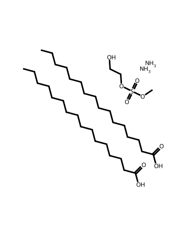 CCCCCCCCCCCCCCCC(=O)O.CCCCCCCCCCCCCCCC(=O)O.COS(=O)(=O)OCCO.N.N